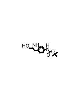 CC(C)(C)OC(=O)Nc1ccc(C[C@H](N)CO)cc1